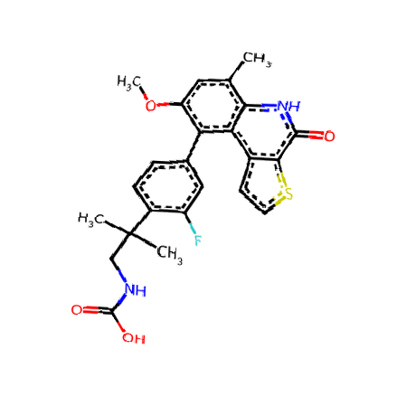 COc1cc(C)c2[nH]c(=O)c3sccc3c2c1-c1ccc(C(C)(C)CNC(=O)O)c(F)c1